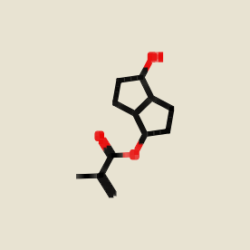 C=C(C)C(=O)OC1CCC2C(O)CCC12